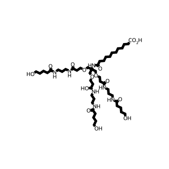 O=C(O)CCCCCCCCCCC(=O)NC(COCCC(=O)NCCCNC(=O)CCCCO)(COCCC(=O)NCCCNC(=O)CCCCO)COCCC(O)NCCCNC(=O)CCCCO